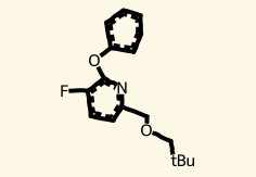 CC(C)(C)COCc1ccc(F)c(Oc2ccccc2)n1